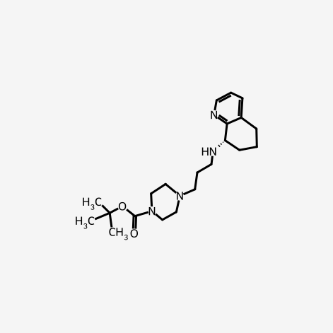 CC(C)(C)OC(=O)N1CCN(CCCN[C@H]2CCCc3cccnc32)CC1